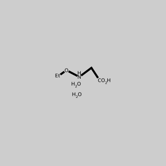 CCONCC(=O)O.O.O